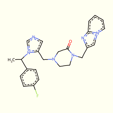 CC(c1ccc(F)cc1)n1cncc1CN1CCN(Cc2cn3ccccc3n2)C(=O)C1